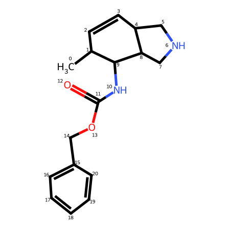 CC1C=CC2CNCC2C1NC(=O)OCc1ccccc1